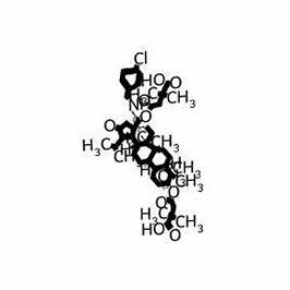 CC(C)C1=C2[C@H]3CC[C@@H]4[C@@]5(C)CC[C@H](OC(=O)CC(C)(C)C(=O)O)C(C)(C)[C@@H]5CC[C@@]4(C)[C@]3(C)CC[C@@]2([C@H](CNCc2ccc(Cl)cc2)OC(=O)CC(C)(C)C(=O)O)CC1=O